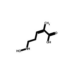 CC(=CCCNO)C(=O)O